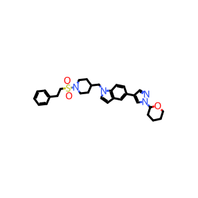 O=S(=O)(CCc1ccccc1)N1CCC(Cn2ccc3cc(-c4cnn(C5CCCCO5)c4)ccc32)CC1